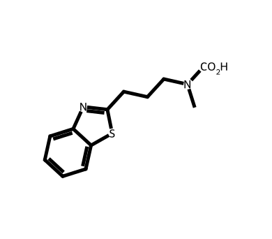 CN(CCCc1nc2ccccc2s1)C(=O)O